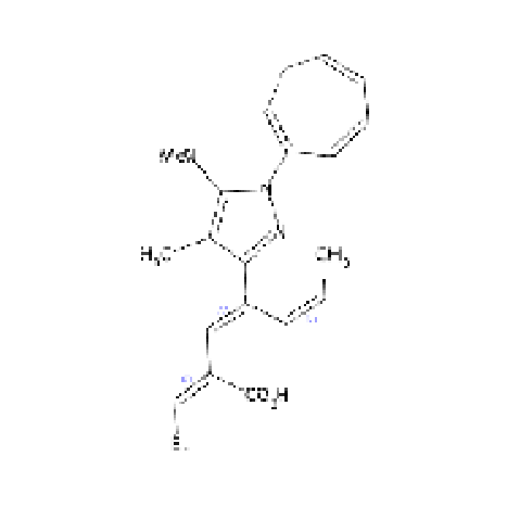 C\C=C/C(=C\C(=C\CC)C(=O)O)c1nn(C2=CCC=CC=C2)c(NC)c1C